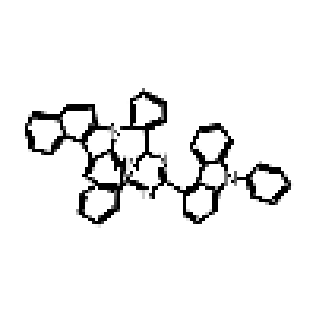 c1ccc(C2=NC(c3cccc4c3c3ccccc3n4-c3ccccc3)=NC(c3ccccc3-n3c4ccccc4c4c5ccccc5ccc43)N2)cc1